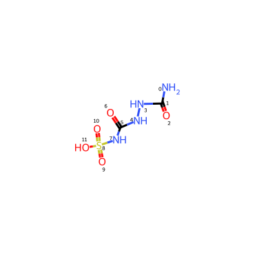 NC(=O)NNC(=O)NS(=O)(=O)O